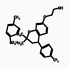 CC1(C)CC(c2ccc(C(F)(F)F)cc2)c2ccc(OCCO)cc2O1.Cc1ccc(S(=O)(=O)O)cc1